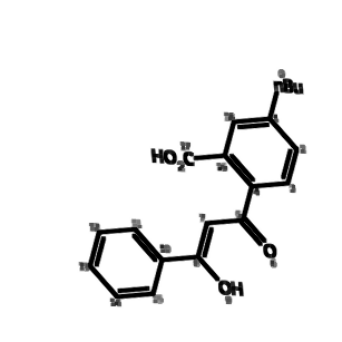 CCCCc1ccc(C(=O)C=C(O)c2ccccc2)c(C(=O)O)c1